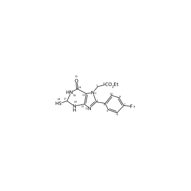 CCOC(=O)Cn1c(-c2ccc(F)cc2)nc2c1C(=O)NC(S)N2